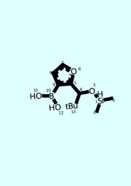 C[SiH](C)OC(c1occc1B(O)O)C(C)(C)C